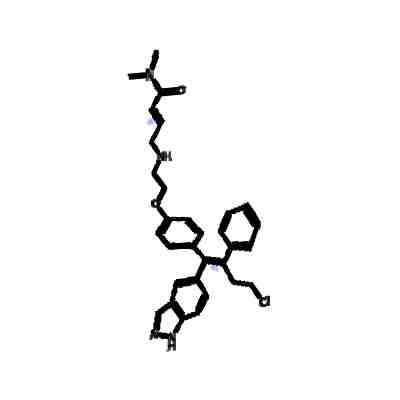 CN(C)C(=O)/C=C/CNCCOc1ccc(/C(=C(/CCCl)c2ccccc2)c2ccc3[nH]ncc3c2)cc1